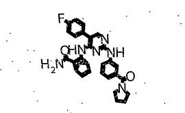 NC(=O)C1C2C=CC(C2)C1Nc1nc(Nc2cccc(C(=O)N3CCCC3)c2)ncc1-c1ccc(F)cc1